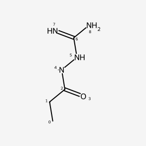 CCC(=O)[N]NC(=N)N